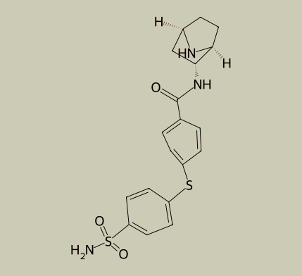 NS(=O)(=O)c1ccc(Sc2ccc(C(=O)N[C@@H]3C[C@H]4CC[C@@H]3N4)cc2)cc1